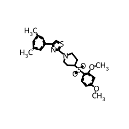 COc1ccc(S(=O)(=O)C2CCN(c3nc(-c4cc(C)cc(C)c4)cs3)CC2)c(OC)c1